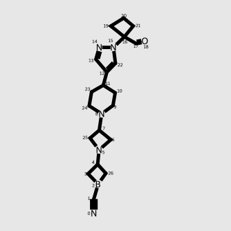 N#CB1CC(N2CC(N3CCC(c4cnn(C5(C=O)CCC5)c4)CC3)C2)C1